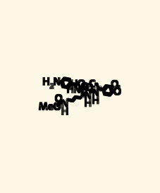 COC(=O)NCCCC[C@H](NC(=O)N[C@@H](CC(=O)O)c1ccc2c(c1)OCO2)C(=O)NCc1ccc(N)cc1